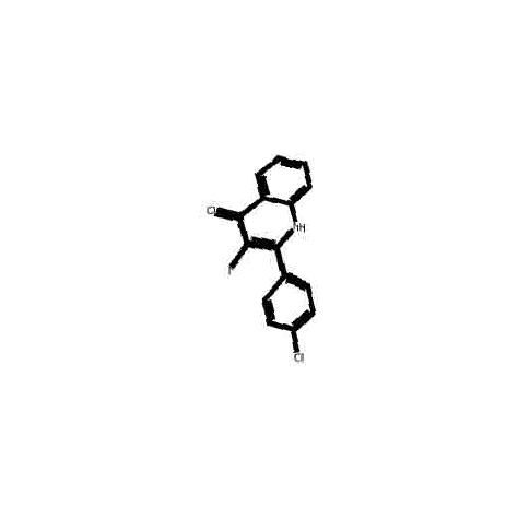 O=c1c(I)c(-c2ccc(Cl)cc2)[nH]c2ccccc12